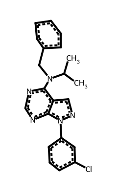 CC(C)N(Cc1ccccc1)c1ncnc2c1cnn2-c1cccc(Cl)c1